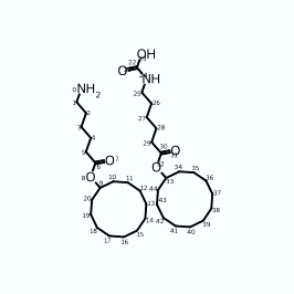 NCCCCCC(=O)OC1CCCCCCCCCCC1.O=C(O)NCCCCCC(=O)OC1CCCCCCCCCCC1